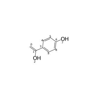 C=C(O)c1ccc(O)cc1